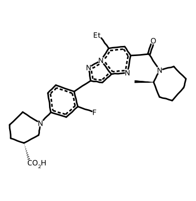 CCc1cc(C(=O)N2CCCCC[C@H]2C)nc2cc(-c3ccc(N4CCC[C@@H](C(=O)O)C4)cc3F)nn12